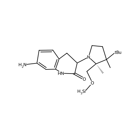 CC(C)(C)C1(C)CCN(C2Cc3ccc(N)cc3NC2=O)[C@]1(C)CO[SiH3]